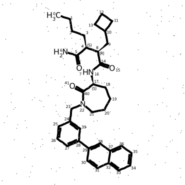 CCCC[C@H](C(N)=O)[C@@H](CC1CCC1)C(=O)N[C@H]1CCCCN(Cc2cccc(-c3ccc4ccccc4c3)c2)C1=O